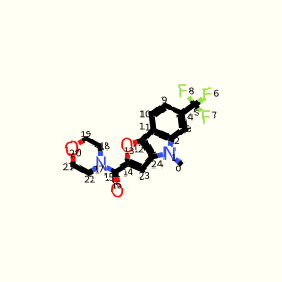 Cn1c2cc(C(F)(F)F)ccc2c2oc(C(=O)N3CCOCC3)cc21